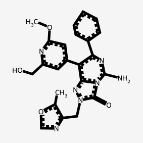 COc1cc(-c2c(-c3ccccc3)nc(N)n3c(=O)n(Cc4ncoc4C)nc23)cc(CO)n1